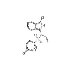 C=CC(n1nc(Cl)c2ccccc21)S(=O)(=O)c1ccc(=O)[nH]n1